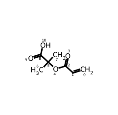 C=CC(=O)OC(C)(C)C(=O)O